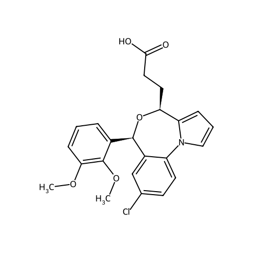 COc1cccc([C@H]2O[C@@H](CCC(=O)O)c3cccn3-c3ccc(Cl)cc32)c1OC